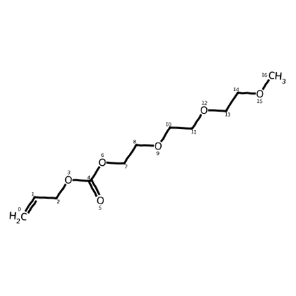 C=CCOC(=O)OCCOCCOCCOC